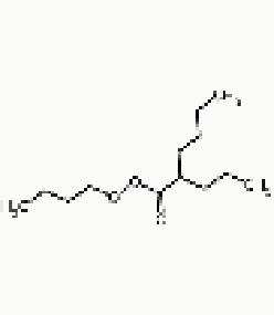 CCCCOOC(=O)C(CCC)CCCC